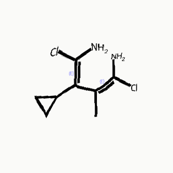 CC(=C(/N)Cl)/C(=C(\N)Cl)C1CC1